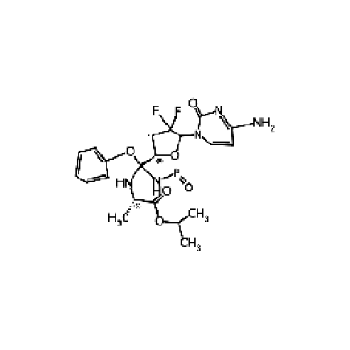 CC(C)OC(=O)[C@H](C)NC(NP=O)(Oc1ccccc1)[C@H]1[CH]C(F)(F)C(n2ccc(N)nc2=O)O1